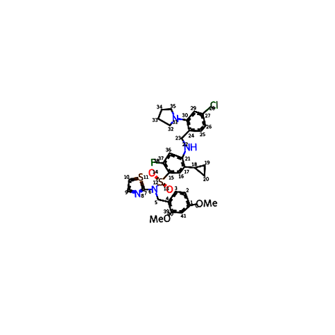 COc1ccc(CN(c2nccs2)S(=O)(=O)c2cc(C3CC3)c(NCc3ccc(Cl)cc3N3CCCC3)cc2F)c(OC)c1